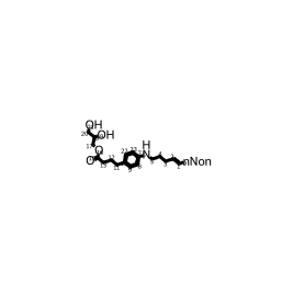 CCCCCCCCCC=CCCCNc1ccc(CCCC(=O)OCC(O)CO)cc1